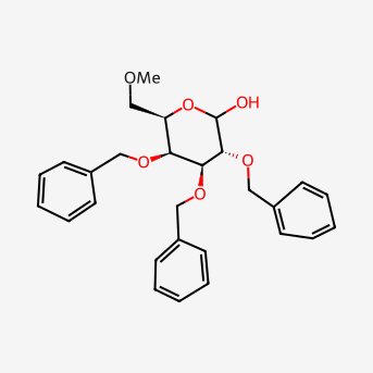 COC[C@H]1OC(O)[C@H](OCc2ccccc2)[C@@H](OCc2ccccc2)[C@H]1OCc1ccccc1